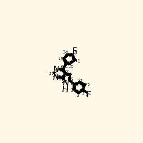 Fc1ccc(-c2cc3c(-c4ccc(F)cc4)ncnc3[nH]2)cc1